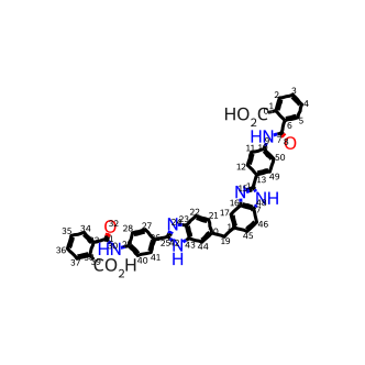 O=C(O)c1ccccc1C(=O)Nc1ccc(-c2nc3cc(Cc4ccc5nc(-c6ccc(NC(=O)c7ccccc7C(=O)O)cc6)[nH]c5c4)ccc3[nH]2)cc1